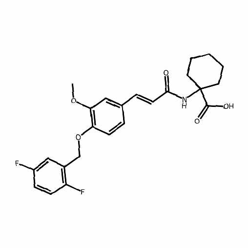 COc1cc(C=CC(=O)NC2(C(=O)O)CCCCC2)ccc1OCc1cc(F)ccc1F